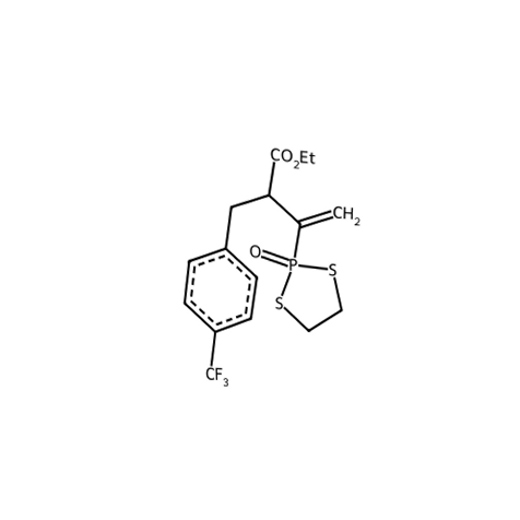 C=C(C(Cc1ccc(C(F)(F)F)cc1)C(=O)OCC)P1(=O)SCCS1